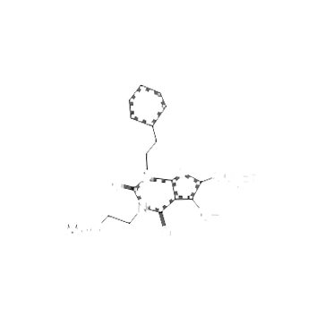 CCOC(=O)c1sc2c(c1C)c(=O)n(CCOC)c(=O)n2CCc1ccccc1